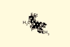 CCOc1cc([C@@H](C)N2C[C@]3(CC3(F)F)c3c(CN4CCN(C)CC4)cc(Cn4ccnc4NC)cc3C2=O)ncc1F